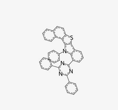 c1ccc(-c2nc(-c3ccccc3)nc(-c3cccc4c5sc6ccc7ccccc7c6c5n(-c5ccccc5)c34)n2)cc1